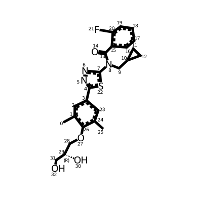 Cc1cc(-c2nnc(N(CC3CC3)C(=O)c3ccccc3F)s2)cc(C)c1OC[C@H](O)CO